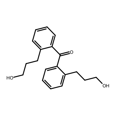 O=C(c1ccccc1CCCO)c1ccccc1CCCO